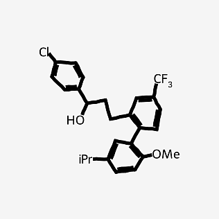 COc1ccc(C(C)C)cc1-c1ccc(C(F)(F)F)cc1CCC(O)c1ccc(Cl)cc1